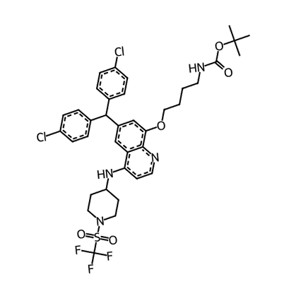 CC(C)(C)OC(=O)NCCCCOc1cc(C(c2ccc(Cl)cc2)c2ccc(Cl)cc2)cc2c(NC3CCN(S(=O)(=O)C(F)(F)F)CC3)ccnc12